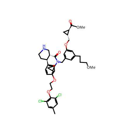 COCCCc1cc(CN(C(=O)[C@H]2CNCC[C@@H]2c2ccc(OCCOc3c(Cl)cc(C)cc3Cl)cc2)C2CC2)cc(OC[C@@H]2C[C@H]2C(=O)OC)c1